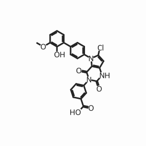 COc1cccc(-c2ccc(-n3c(Cl)cc4[nH]c(=O)n(-c5cccc(C(=O)O)c5)c(=O)c43)cc2)c1O